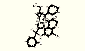 [2H]C(Nc1cc(C(C)=O)c2ncc(C#N)c(NC(CCC#N)c3ccccc3)c2c1)(c1cn(C2CC2)nn1)c1ccccc1Cl